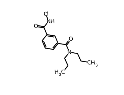 CCCN(CCC)C(=O)c1cccc(C(=O)NCl)c1